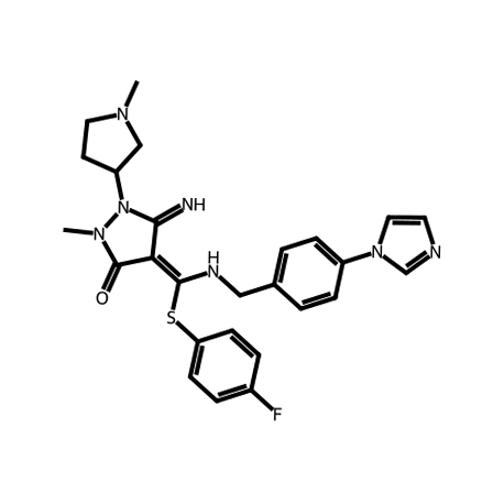 CN1CCC(N2C(=N)/C(=C(\NCc3ccc(-n4ccnc4)cc3)Sc3ccc(F)cc3)C(=O)N2C)C1